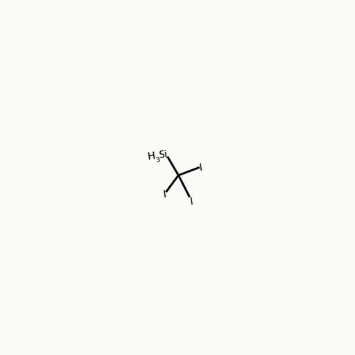 [SiH3]C(I)(I)I